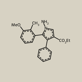 CCOC(=O)c1cn(N)c(-c2cccc(OC)c2C)c1-c1ccccc1